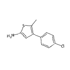 Cc1sc(N)cc1-c1ccc(Cl)cc1